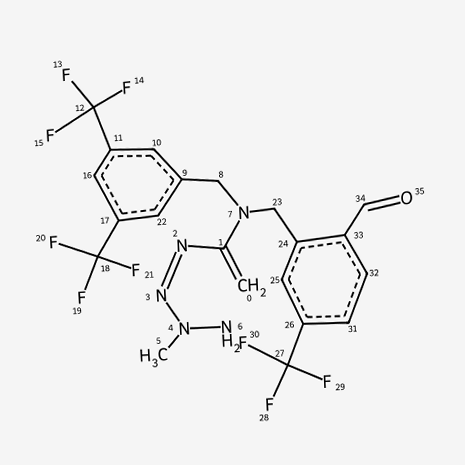 C=C(/N=N\N(C)N)N(Cc1cc(C(F)(F)F)cc(C(F)(F)F)c1)Cc1cc(C(F)(F)F)ccc1C=O